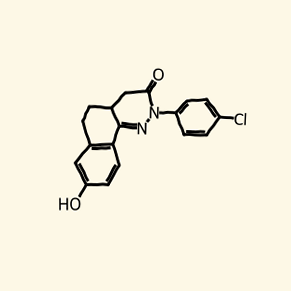 O=C1CC2CCc3cc(O)ccc3C2=NN1c1ccc(Cl)cc1